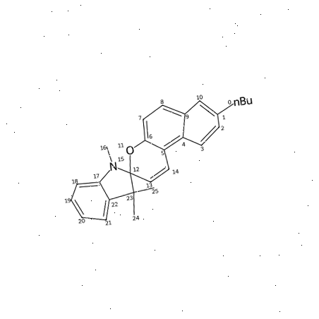 CCCCc1ccc2c3c(ccc2c1)OC1(C=C3)N(C)c2ccccc2C1(C)C